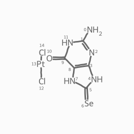 Nc1nc2[nH]c(=[Se])[nH]c2c(=O)[nH]1.[Cl][Pt][Cl]